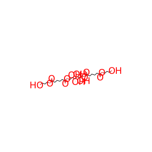 O=C(CCCCC(=O)OCC(O)[C@@H](O)[C@H](O)[C@@H](O)COC(=O)CCCCC(=O)OCCCO)OCCCO